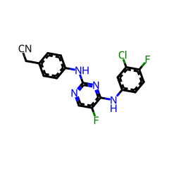 N#CCc1ccc(Nc2ncc(F)c(Nc3ccc(F)c(Cl)c3)n2)cc1